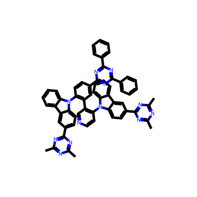 Cc1nc(C)nc(-c2ccc3c(c2)c2ccccc2n3-c2ccncc2-c2cc(-c3nc(-c4ccccc4)nc(-c4ccccc4)n3)ccc2-n2c3ccccc3c3cc(-c4nc(C)nc(C)n4)ccc32)n1